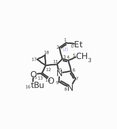 CC/C=C\C1=C(C)c2cncn2C1C1(C(=O)OC(C)(C)C)CC1